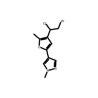 Cc1oc(-c2cnn(C)c2)cc1C(Cl)CC(C)C